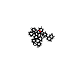 c1ccc(-c2ccc(-c3cccc4ccccc34)cc2N(c2ccc(-c3cccc4oc5ccccc5c34)cc2)c2cccc3c2-c2ccccc2C3(c2ccccc2)c2ccccc2)cc1